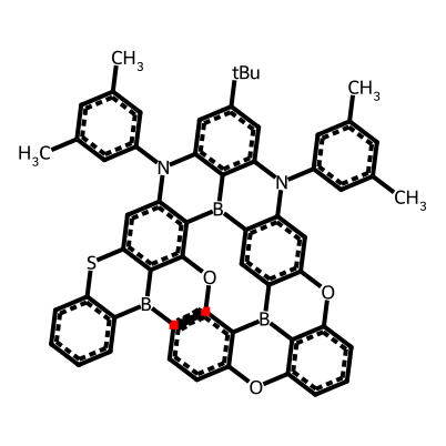 Cc1cc(C)cc(N2c3cc4c(cc3B3c5c2cc(C(C)(C)C)cc5N(c2cc(C)cc(C)c2)c2cc5c6c(c23)Oc2ccccc2B6c2ccccc2S5)B2c3ccccc3Oc3cccc(c32)O4)c1